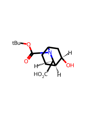 CC(C)(C)OC(=O)N1C2CC[C@H]([C@H](O)C2)[C@H]1C(=O)O